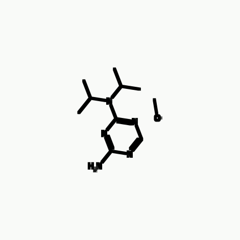 CC(C)N(c1ncnc(N)n1)C(C)C.C[O]